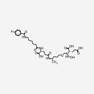 C[C@H](CCCOCN(PO)[C@@H](CCC(=O)O)C(=O)O)NC(=O)CC[C@H](NC(=O)CCCCCNC(=O)c1ccc(F)cc1)C(=O)O